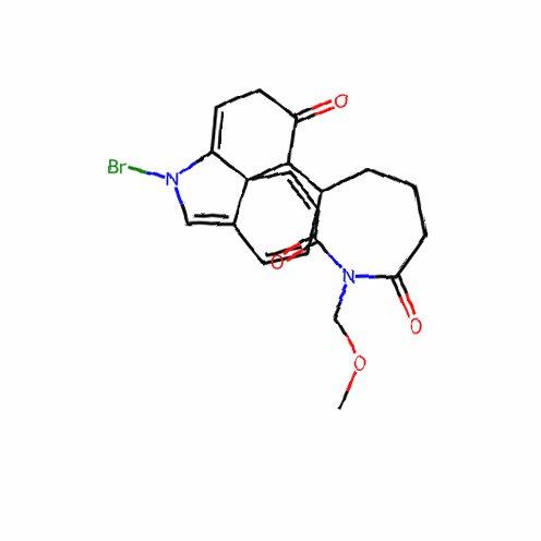 COCN1C(=O)CCCC(C2C(=O)CC=C3N(Br)C=C4C=CC=CC432)C1=O